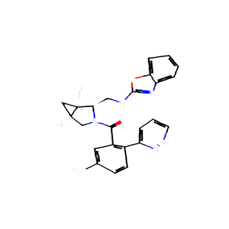 Cc1ccc(-c2cccnn2)c(C(=O)N2C[C@H]3C[C@H]3[C@H]2CNc2nc3ccccc3o2)c1